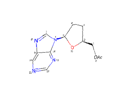 CC(=O)OC[C@@H]1CC[C@H](n2cnc3cncnc32)O1